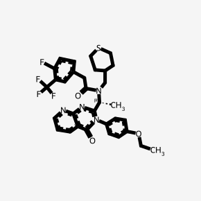 CCOc1ccc(-n2c([C@@H](C)N(CC3CCSCC3)C(=O)Cc3ccc(F)c(C(F)(F)F)c3)nc3ncccc3c2=O)cc1